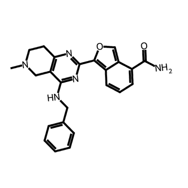 CN1CCc2nc(-c3occ4c(C(N)=O)cccc34)nc(NCc3ccccc3)c2C1